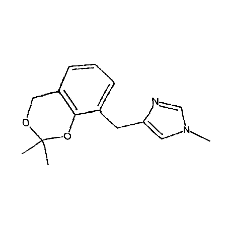 Cn1cnc(Cc2cccc3c2OC(C)(C)OC3)c1